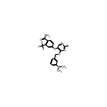 CN(C)c1cccc(COc2nc(I)ncc2Sc2ccc(C(N)=O)c(C(F)(F)F)c2)c1